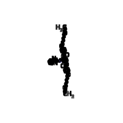 C=CCOCCCCCCOc1ccc(C(=O)Oc2ccc(OC(=O)c3ccc(OCCCCCCOCC=C)cc3)c(/C=C/c3cnc4ccccc4n3)c2)cc1